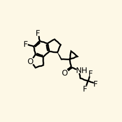 O=C(NCC(F)(F)F)C1(C[C@@H]2CCc3c(F)c(F)c4c(c32)CCO4)CC1